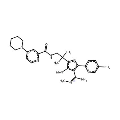 C/N=C(/N)c1c(-c2ccc(C)cc2)nn(C(C)(C)CNC(=O)c2cc(N3CCCCC3)ccn2)c1NC